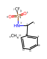 C.CC(NS(=O)(=O)C(F)(F)F)c1ccccc1